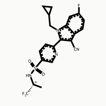 C[C@@H](NS(=O)(=O)c1ccc(-c2c(C#N)c3ccc(F)cc3n2CC2CC2)nc1)C(F)(F)F